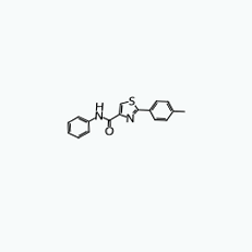 Cc1ccc(-c2nc(C(=O)Nc3ccccc3)cs2)cc1